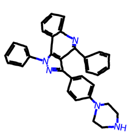 c1ccc(-c2nc3ccccc3c3c2c(-c2ccc(N4CCNCC4)cc2)nn3-c2ccccc2)cc1